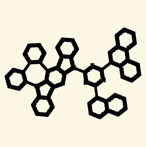 c1ccc2c(c1)-c1ccccc1-n1c3ccccc3c3cc4c(c-2c31)c1ccccc1n4-c1nc(-c2cccc3ccccc23)nc(-c2cc3ccccc3c3ccccc23)n1